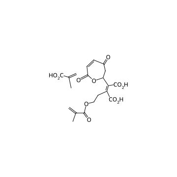 C=C(C)C(=O)O.C=C(C)C(=O)OCC/C(C(=O)O)=C(/C(=O)O)C1CC(=O)C=CC(=O)O1